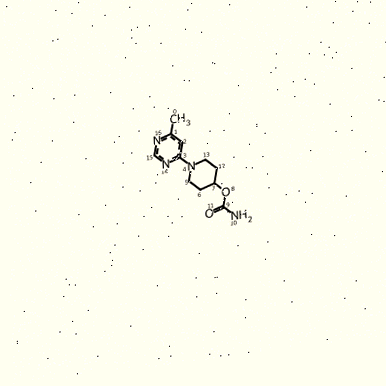 Cc1cc(N2CCC(OC(N)=O)CC2)ncn1